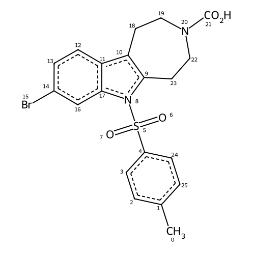 Cc1ccc(S(=O)(=O)n2c3c(c4ccc(Br)cc42)CCN(C(=O)O)CC3)cc1